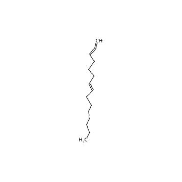 [CH]=C=CCCCC=CCCCCCCC